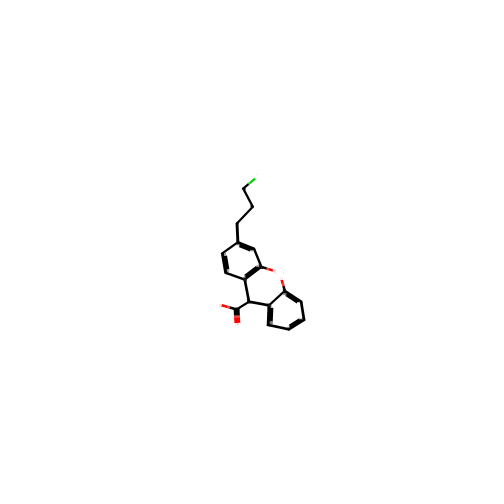 O=C(O)C1c2ccccc2Oc2cc(CCCCl)ccc21